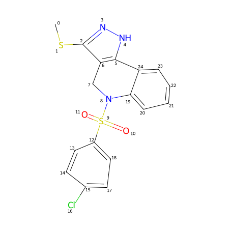 CSc1n[nH]c2c1CN(S(=O)(=O)c1ccc(Cl)cc1)c1ccccc1-2